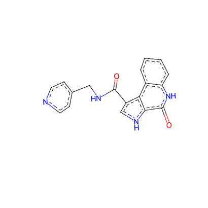 O=C(NCc1ccncc1)c1c[nH]c2c(=O)[nH]c3ccccc3c12